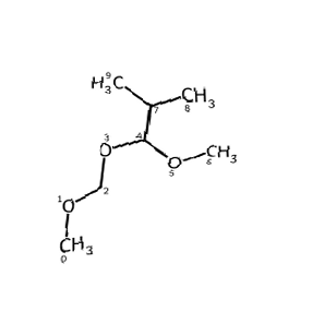 COCOC(OC)C(C)C